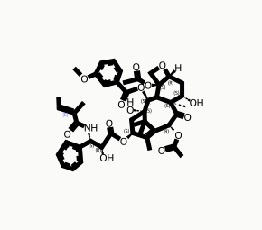 C/C=C(\C)C(=O)N[C@@H](c1ccccc1)[C@@H](O)C(=O)O[C@H]1C[C@@]2(O)[C@@H](OC(=O)c3cccc(OC)c3)C3[C@](C)(C(=O)[C@H](OC(C)=O)C(=C1C)C2(C)C)[C@@H](O)C[C@H]1OC[C@@]31OC(C)=O